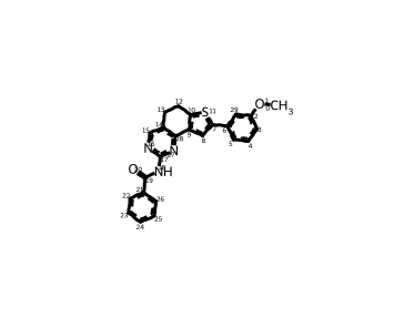 COc1cccc(-c2cc3c(s2)CCc2cnc(NC(=O)c4ccccc4)nc2-3)c1